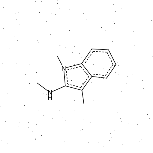 CNc1c(C)c2ccccc2n1C